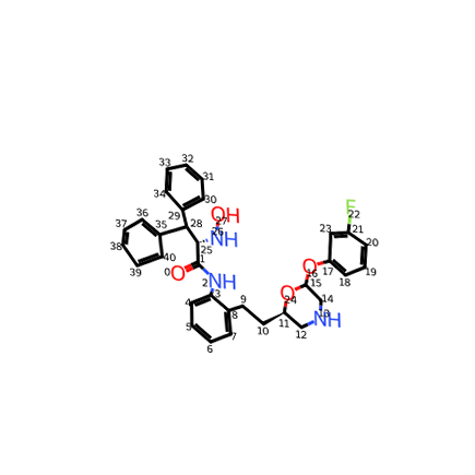 O=C(Nc1ccccc1CC[C@@H]1CNCC(Oc2cccc(F)c2)O1)[C@@H](NO)C(c1ccccc1)c1ccccc1